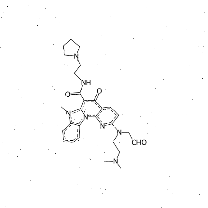 CN(C)CCN(CC=O)c1ccc2c(=O)c(C(=O)NCCN3CCCC3)c3n(C)c4ccccc4n3c2n1